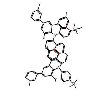 Cc1cccc(-c2cc(F)c(N(c3ccc([Si](C)(C)C)cc3)c3ccc4ccc5c(N(c6ccc([Si](C)(C)C)cc6)c6c(F)cc(-c7cccc(C)c7)cc6-c6cccc(C)c6)ccc6ccc3c4c65)c(-c3cccc(C)c3)c2)c1